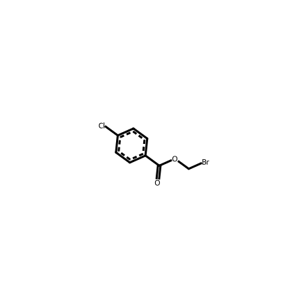 O=C(OCBr)c1ccc(Cl)cc1